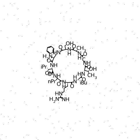 CCCC1NC(=O)[C@H]([C@H](O)C(C)C)NC(=O)[C@@H](N)[C@@H](c2ccccc2)NC(=O)C(CO)NC(=O)C(C)NC(=O)CNC(=O)[C@H]([C@H](C)O)NC(=O)[C@H]([C@@H](C)CC)NC(=O)[C@@H](CCCNC(=N)N)NC1=O